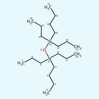 CCCC[Si](CCC)(CCC)O[Si](CCC)(CCC)CCCC